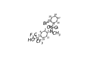 CN(c1ccc(C(O)(C(F)(F)F)C(F)(F)F)cc1)S(=O)(=O)c1ccccc1Br